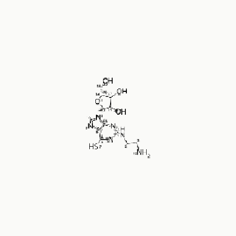 NCCNc1nc(S)c2ncn([C@@H]3O[C@H](CO)C(O)C3O)c2n1